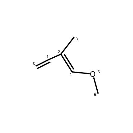 C=CC(C)=COC